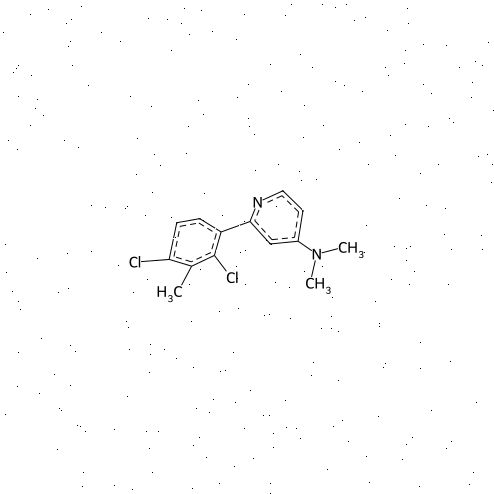 Cc1c(Cl)ccc(-c2cc(N(C)C)ccn2)c1Cl